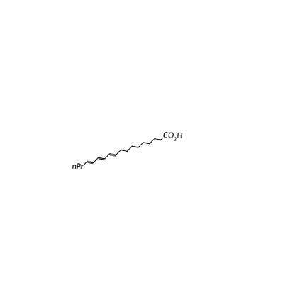 CCC/C=C/C=C/C=C/CCCCCCCCC(=O)O